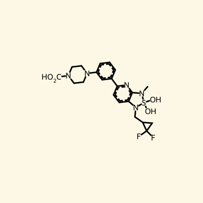 CN1c2nc(-c3cccc(N4CCN(C(=O)O)CC4)c3)ccc2N(CC2CC2(F)F)S1(O)O